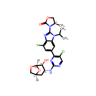 CC(C)n1c(N2C(=O)OC[C@H]2C)nc2c(F)cc(-c3nc(N[C@@H]4C[C@H]5CO[C@H](O5)[C@H]4O)ncc3Cl)cc21